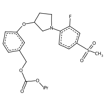 CC(C)OC(=O)OCc1cccc(OC2CCN(c3ccc(S(C)(=O)=O)cc3F)C2)c1